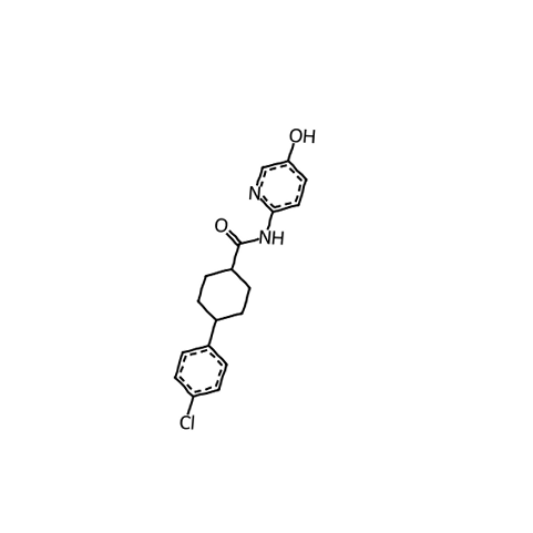 O=C(Nc1ccc(O)cn1)C1CCC(c2ccc(Cl)cc2)CC1